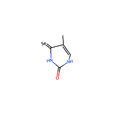 Cc1c[nH]c(=O)[nH]c1=[Se]